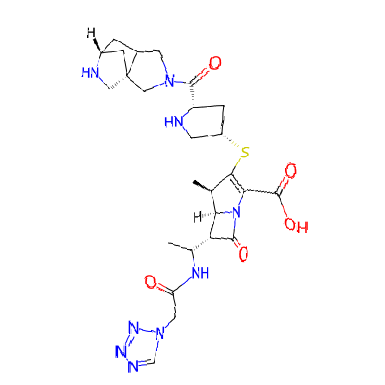 CC(NC(=O)Cn1cnnn1)[C@H]1C(=O)N2C(C(=O)O)=C(S[C@@H]3CN[C@H](C(=O)N4CC5C[C@@H]6C[C@]5(CN6)C4)C3)[C@H](C)[C@H]12